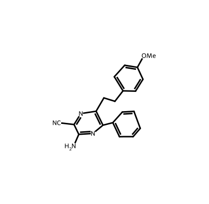 COc1ccc(CCc2nc(C#N)c(N)nc2-c2ccccc2)cc1